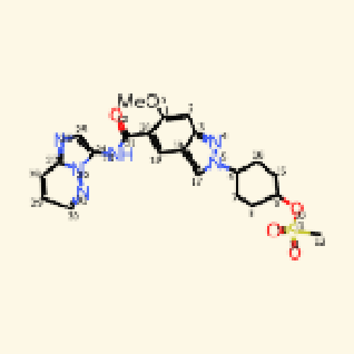 COc1cc2nn(C3CCC(OS(C)(=O)=O)CC3)cc2cc1C(=O)Nc1cnc2cccnn12